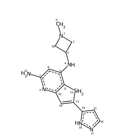 CN1CC(Nc2cc(N)nc3c2[SiH2]C(c2ccn[nH]2)=C3)C1